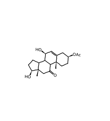 CC(=O)O[C@H]1CC[C@@]2(C)C(=C[C@H](O)C3C2C(=O)C[C@@]2(C)C3CC[C@@H]2O)C1